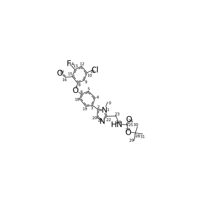 Cn1c(-c2ccc(Oc3cc(Cl)cc(F)c3C=O)cc2)cnc1CNC(=O)OC(C)(C)C